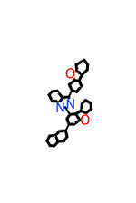 c1ccc2cc(-c3cc(-c4nc(-c5ccc6c(c5)oc5ccccc56)c5ccccc5n4)c4c(c3)oc3ccccc34)ccc2c1